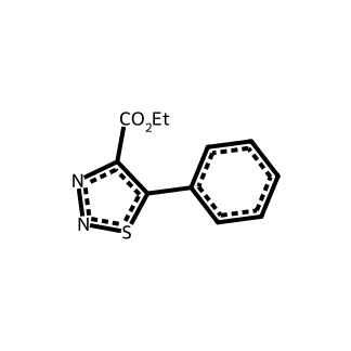 CCOC(=O)c1nnsc1-c1ccccc1